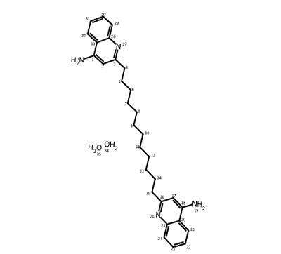 Nc1cc(CCCCCCCCCCCCc2cc(N)c3ccccc3n2)nc2ccccc12.O.O